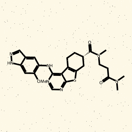 COc1cc2[nH]ncc2cc1Nc1ncnc2sc3c(c12)CC[C@H](C(=O)N(C)CCC(=O)N(C)C)C3